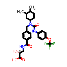 CC1CCC(N(Cc2ccc(C(=O)NC[C@@H](O)C(=O)O)cc2)C(=O)Nc2ccc(OC(F)(F)F)cc2)CC1C